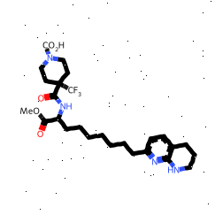 COC(=O)C(CCCCCCCc1ccc2c(n1)NCCC2)NC(=O)C1(C(F)(F)F)CCN(C(=O)O)CC1